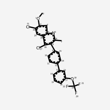 COc1cc2nc(C)c(-c3ccc(-c4cccc(OC(F)(F)F)c4)cc3)c(Cl)c2cc1Cl